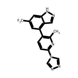 Cc1nc(-n2cnnc2)ccc1-c1cc(C(F)(F)F)cc2[nH]ncc12